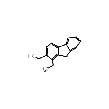 CCc1ccc2c(c1CC)[CH]c1ccccc1-2